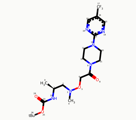 C[C@@H](CN(C)OCC(=O)N1CCN(c2ncc(C(F)(F)F)cn2)CC1)NC(=O)OC(C)(C)C